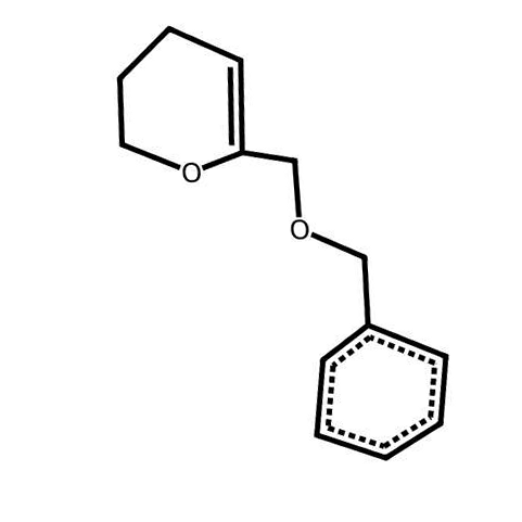 C1=C(COCc2ccccc2)OCCC1